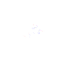 CC1(C)NCCN(CCNC(=O)CCC(=O)O)CCNC(C)(C)/C(=N\O)C/C1=N/O